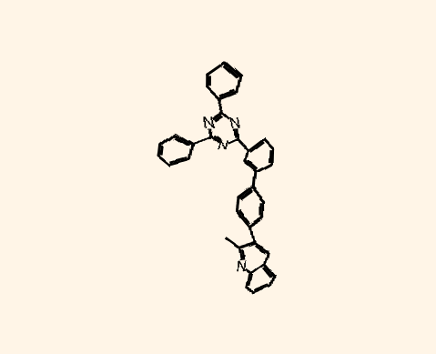 Cc1nc2ccccc2cc1-c1ccc(-c2cccc(-c3nc(-c4ccccc4)nc(-c4ccccc4)n3)c2)cc1